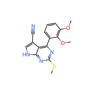 COc1cccc(-c2nc(SC)nc3[nH]cc(C#N)c23)c1OC